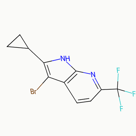 FC(F)(F)c1ccc2c(Br)c(C3CC3)[nH]c2n1